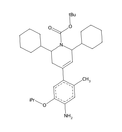 Cc1cc(N)c(OC(C)C)cc1C1=CC(C2CCCCC2)N(C(=O)OC(C)(C)C)C(C2CCCCC2)C1